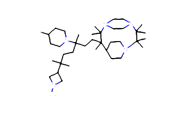 CC(C)(C)C1CCN(C(C)(CCC(C)(C)C2CN(C(C)(C)C)C2)CCC2(C)C3CCN(CC3)C(C)(C)C(C)(C)N3CCN(CC3)C2(C)C)CC1